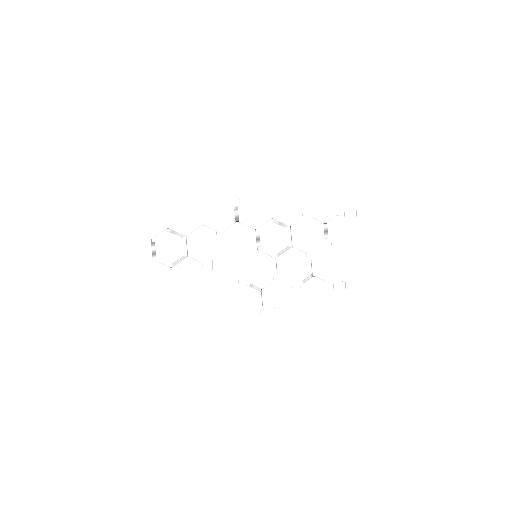 CCCC(=O)Oc1cc(C(=O)OCc2ccccc2Cl)cc(OC(=O)CCC)c1OC(=O)CCC